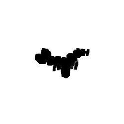 C1=CC(c2ccc(C3=CC(c4ccc(-c5ccc6c(c5)c5ccccc5n6-c5ccccc5)cc4)NC(c4ccccc4)N3)cc2)=CCN1